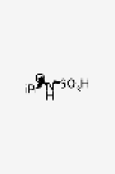 CC(C)C(=O)NCS(=O)(=O)O